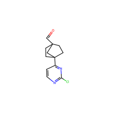 O=CC12CCC(c3ccnc(Cl)n3)(CC1)C2